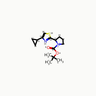 CC(C)(C)OC(=O)N1CCCC1c1nc(C2CC2)cs1